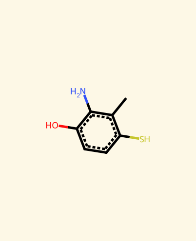 Cc1c(S)ccc(O)c1N